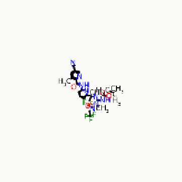 Cc1cc(C#N)cnc1C(=O)Nc1ccc(F)c([C@]2(C)CS(=O)(=NCC(F)(F)F)N(C)C(NC(=O)OC(C)(C)C)=N2)n1